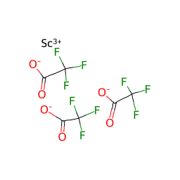 O=C([O-])C(F)(F)F.O=C([O-])C(F)(F)F.O=C([O-])C(F)(F)F.[Sc+3]